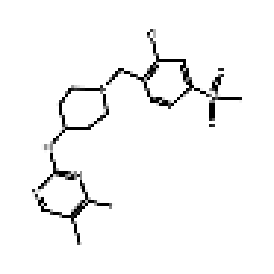 Cc1cnc(NC2CCN(Cc3ccc(S(C)(=O)=O)cc3Cl)CC2)nc1C